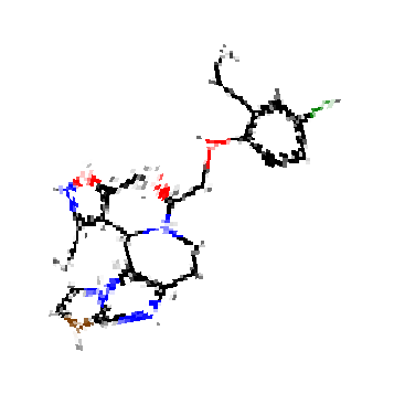 CCc1cc(Cl)ccc1OCC(=O)N1CCc2nc3sccn3c2C1c1c(C)noc1C